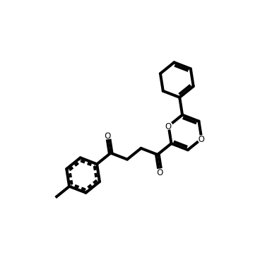 Cc1ccc(C(=O)CCC(=O)C2=COC=C(C3=CC=CCC3)O2)cc1